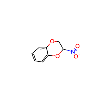 O=[N+]([O-])C1COc2ccccc2O1